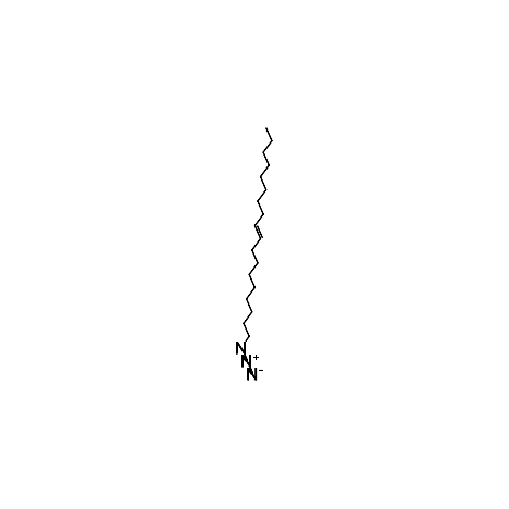 CCCCCCCCC=CCCCCCCCCN=[N+]=[N-]